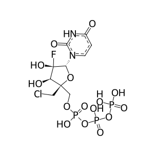 O=c1ccn([C@@H]2O[C@](CCl)(COP(=O)(O)OP(=O)(O)OP(=O)(O)O)[C@@H](O)[C@]2(O)F)c(=O)[nH]1